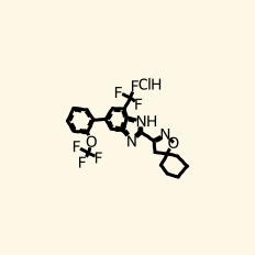 Cl.FC(F)(F)Oc1ccccc1-c1cc(C(F)(F)F)c2[nH]c(C3=NOC4(CCCCC4)C3)nc2c1